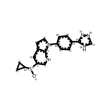 [O-][S+](c1cnc2c(ccn2-c2ccc(-c3nnc[nH]3)cc2)c1)C1CC1